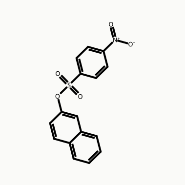 O=[N+]([O-])c1ccc(S(=O)(=O)Oc2ccc3ccccc3c2)cc1